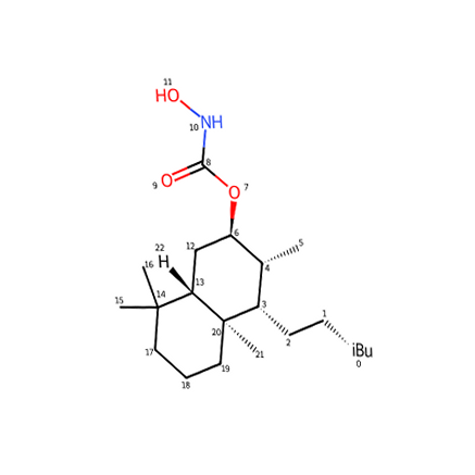 CC[C@@H](C)CC[C@H]1[C@@H](C)[C@H](OC(=O)NO)C[C@H]2C(C)(C)CCC[C@]12C